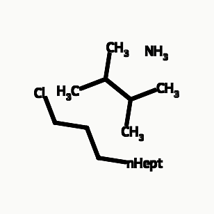 CC(C)C(C)C.CCCCCCCCCCCl.N